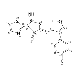 N=C1S/C(=C\c2conc2-c2ccc(Cl)cc2)C(=O)N1c1nccs1